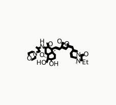 CCC1C(=O)N2C=C(/C=C3C=C(/C=C/C4C5(CO5)C(NC(C)C(=O)N5CCOCC5)CC5[C@]4(C)CC[C@@H](O)[C@@]5(C)CO)C(=O)O\3)C=CC2N1C